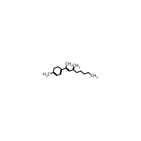 C=C(/C=C(\C)C1=CC=C(C)CC1)CCCCC